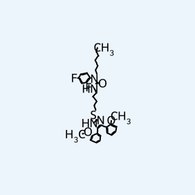 CCCCCCCN(C(=O)NCCCCCSc1nc(-c2ccccc2OC)c(-c2ccccc2OC)[nH]1)c1ccc(F)cc1F